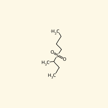 [CH2]CCCS(=O)(=O)C(C)CC